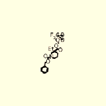 CCC1(C(=O)OCOS(=O)(=O)C(F)(F)F)CCCN(C(=O)OCc2ccccc2)C1